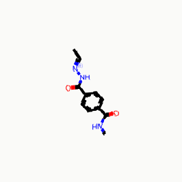 C/C=N/NC(=O)c1ccc(C(=O)NC)cc1